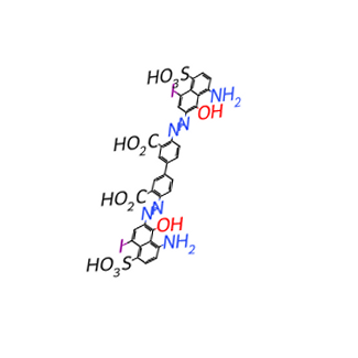 Nc1ccc(S(=O)(=O)O)c2c(I)cc(N=Nc3ccc(-c4ccc(N=Nc5cc(I)c6c(S(=O)(=O)O)ccc(N)c6c5O)c(C(=O)O)c4)cc3C(=O)O)c(O)c12